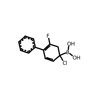 OB(O)C1(Cl)C=CC(c2ccccc2)=C(F)C1